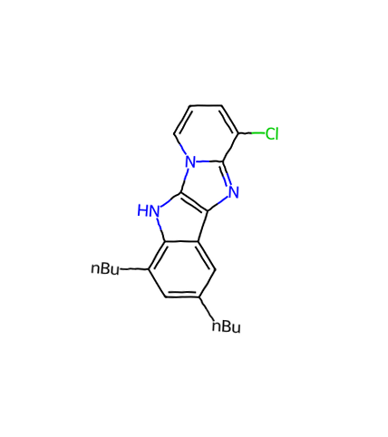 CCCCc1cc(CCCC)c2[nH]c3c(nc4c(Cl)cccn43)c2c1